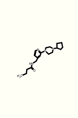 CCCC(=O)NCc1ccnc(N2CCN(C3CCCC3)CC2)c1